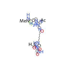 CN/C=C(\C=N)c1cc2c(cc1C(F)F)N(C(N)C1=C(NC3CCN(C(=O)CCCCCCCCNc4cccc5c4n(C)c(=O)n5C4CCC(=O)NC4=O)CC3)CCN(C(C)=O)C1)CCC2